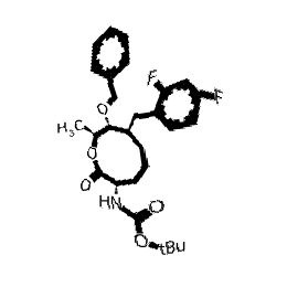 C[C@@H]1OC(=O)[C@@H](NC(=O)OC(C)(C)C)CCC[C@H](Cc2ccc(F)cc2F)[C@H]1OCc1ccccc1